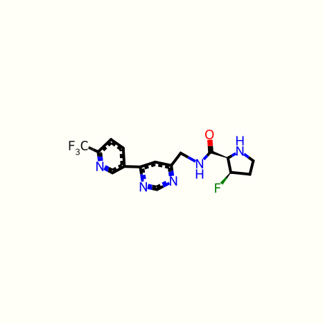 O=C(NCc1cc(-c2ccc(C(F)(F)F)nc2)ncn1)[C@H]1NCC[C@H]1F